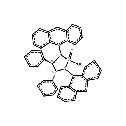 O=P1(O)N(c2c3ccccc3cc3ccccc23)[C@H](c2ccccc2)[C@@H](c2ccccc2)N1c1c2ccccc2cc2ccccc12